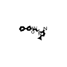 N#Cc1ccc(C2CC2)nc1SCCC(=O)Nc1ccc(-c2ccccc2)cc1